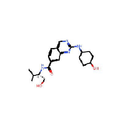 CC(C)[C@@H](CO)NC(=O)c1ccc2cnc(NC3CCC(O)CC3)nc2c1